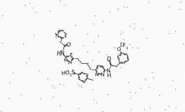 Cc1ccc(S(=O)(=O)O)cc1.O=C(Cc1cccc(OC(F)(F)F)c1)Nc1ccc(CCCCc2nnc(NC(=O)Cc3ccccn3)s2)nn1